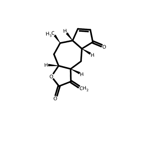 C=C1C(=O)O[C@@H]2C[C@@H](C)[C@@H]3C=CC(=O)[C@@H]3C[C@H]12